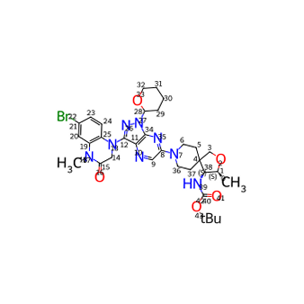 C[C@@H]1OCC2(CCN(c3cnc4c(N5CC(=O)N(C)c6cc(Br)ccc65)nn(C5CCCCO5)c4n3)CC2)[C@@H]1NC(=O)OC(C)(C)C